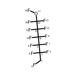 FCC(F)(F)C(F)(F)C(F)(F)C(F)(F)C(F)(F)OF